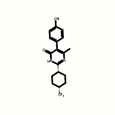 Cc1nc([C@H]2CC[C@@H](C(F)(F)F)CC2)[nH]c(=O)c1-c1ccc(C#N)cc1